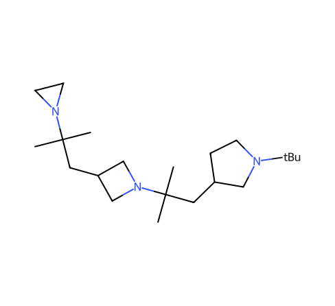 CC(C)(C)N1CCC(CC(C)(C)N2CC(CC(C)(C)N3CC3)C2)C1